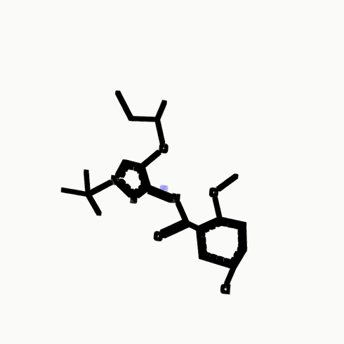 CCC(C)Oc1cn(C(C)(C)C)s/c1=N\C(=O)c1cc(Cl)ccc1OC